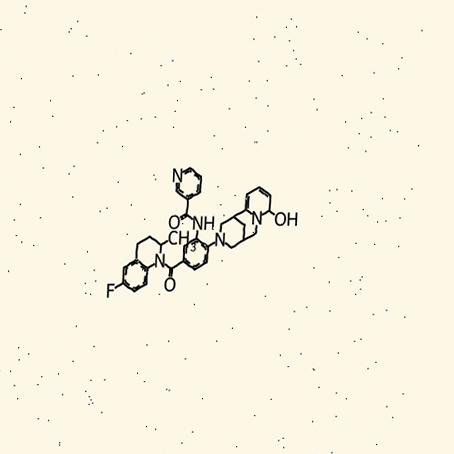 CC1CCc2cc(F)ccc2N1C(=O)c1ccc(N2CC3CC(C2)C2=CC=CC(O)N2C3)c(NC(=O)c2cccnc2)c1